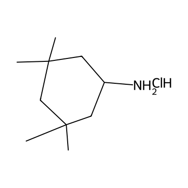 CC1(C)CC(N)CC(C)(C)C1.Cl